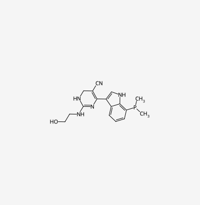 CP(C)c1cccc2c(C3=C(C#N)CNC(NCCO)=N3)c[nH]c12